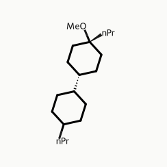 CCCC1CCC([C@H]2CC[C@@](CCC)(OC)CC2)CC1